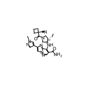 CC[C@H]1CN(C(=O)C2(C#N)CCC2)C[C@H]1Nc1c(C(N)=O)cnn2cc(-c3cnn(C)c3)nc12